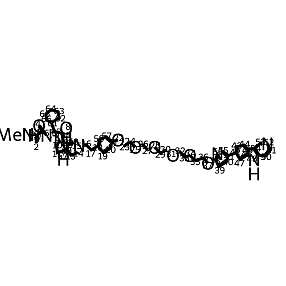 CN[C@@H](C)C(=O)N[C@H](C(=O)N1CC[C@H]2CCN(CCc3ccc(OCCOCCOCCOCCOCCOc4ccc(-c5ccc6c(c5)[nH]c5ccncc56)cn4)cc3)C[C@H]21)C1CCCCC1